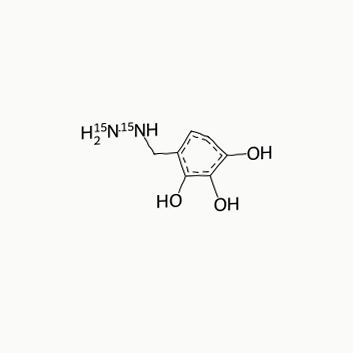 [15NH2][15NH]Cc1ccc(O)c(O)c1O